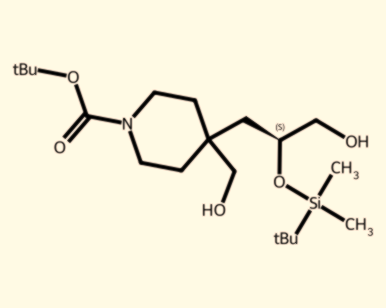 CC(C)(C)OC(=O)N1CCC(CO)(C[C@@H](CO)O[Si](C)(C)C(C)(C)C)CC1